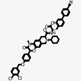 CN1C(=O)C(c2ccc(OCc3ccc(Cl)c(Cl)c3)cc2)Oc2cc3c(cc21)CC(C(=O)N[C@@H](Cc1ccc(-c2ccc(C#N)cc2)cc1)C(=O)O)N(C1CCCCC1)C3